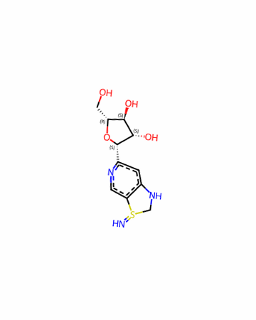 N=S1CNc2cc([C@@H]3O[C@H](CO)[C@@H](O)[C@@H]3O)ncc21